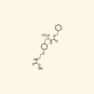 CC(C)(C)OC(=O)NCCOc1ccc(CC(NC(=O)OCc2ccccc2)C(=O)O)cc1